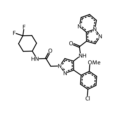 COc1ccc(Cl)cc1-c1nn(CC(=O)NC2CCC(F)(F)CC2)cc1NC(=O)c1cnn2cccnc12